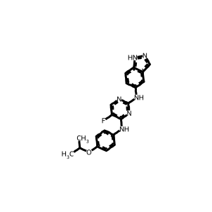 CC(C)Oc1ccc(Nc2nc(Nc3ccc4[nH]ncc4c3)ncc2F)cc1